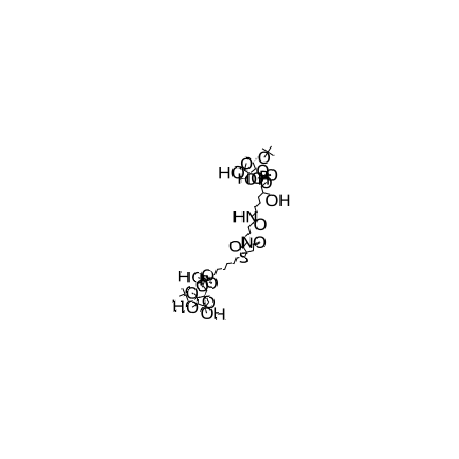 CC(C)(C)OC[C@H]1O[C@@H](O)C(O)C1OP(=O)(O)OCC(CO)CCCCNC(=O)CCCN1C(=O)CC(SCCCCCCOP(=O)(O)OC[C@H]2O[C@@H](O)C(O)C2OC(C)(C)C)C1=O